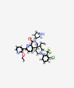 CCOc1ncccc1-c1ccc2c(n1)C(=O)N(C1CCNC1)CC21CCN(c2cccc(Cl)c2C(F)(F)F)CC1CC